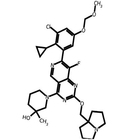 COCOc1cc(Cl)c(C2CC2)c(-c2ncc3c(N4CCCC(C)(O)C4)nc(OCC45CCCN4CCC5)nc3c2F)c1